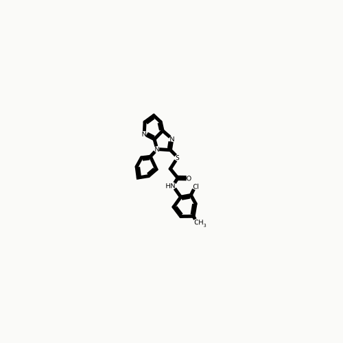 Cc1ccc(NC(=O)CSc2nc3cccnc3n2-c2ccccc2)c(Cl)c1